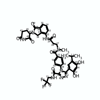 CC(C)c1cc(-c2nnc(C(=O)NCC(F)(F)F)n2-c2ccc(C(=O)N(C)CCC(=O)Nc3cccc4c3CN(C3CCC(=O)NC3=O)C4=O)cc2)c(O)cc1O